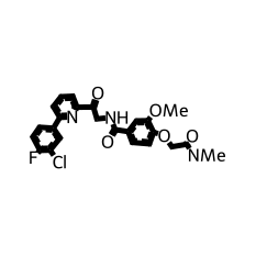 CNC(=O)COc1ccc(C(=O)NCC(=O)c2cccc(-c3ccc(F)c(Cl)c3)n2)cc1OC